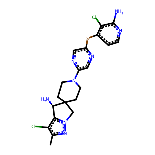 Cc1nn2c(c1Cl)[C@@H](N)C1(CCN(c3cnc(Sc4ccnc(N)c4Cl)cn3)CC1)C2